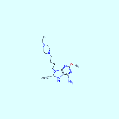 CCCCOc1nc(N)c2c(n1)N(CCCCN1CCN(CC(C)C)CC1)C(C=O)N2